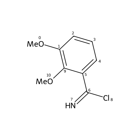 COc1cccc(C(=N)Cl)c1OC